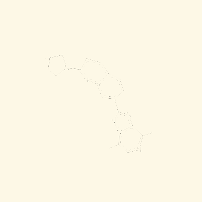 Cc1ncc(C)n2nc(-c3ccc4ccc(N5CC[C@H](F)C5)nc4c3)nc12